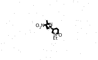 CCN1CC(n2cc([N+](=O)[O-])c(C)n2)CCC1=O